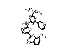 Cc1cccc(Cl)c1NC(=O)c1nnc(Nc2nc(-c3cccnc3)nc(N(C)C)n2)o1